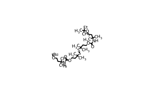 CCC(C)(C)OCCC(C)(C)NC(=O)OCCC(C)(C)SSC(C)(C)CCOC(=O)NC(C)(C)CCOC(C)(C)C